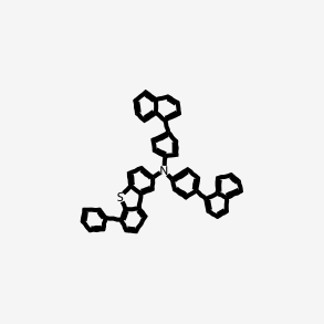 c1ccc(-c2cccc3c2sc2ccc(N(c4ccc(-c5cccc6ccccc56)cc4)c4ccc(-c5cccc6ccccc56)cc4)cc23)cc1